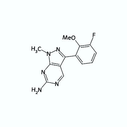 COc1c(F)cccc1-c1nn(C)c2nc(N)ncc12